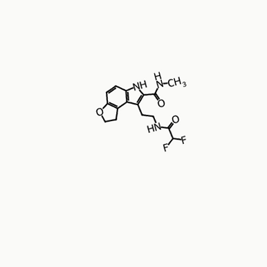 CNC(=O)c1[nH]c2ccc3c(c2c1CCNC(=O)C(F)F)CCO3